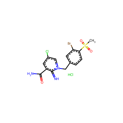 CS(=O)(=O)c1ccc(Cn2cc(Cl)cc(C(N)=O)c2=N)cc1Br.Cl